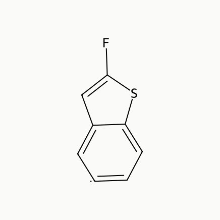 Fc1cc2c[c]ccc2s1